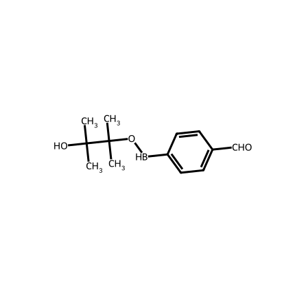 CC(C)(O)C(C)(C)OBc1ccc(C=O)cc1